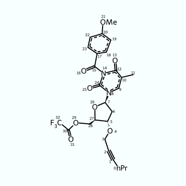 CCCC#CCO[C@H]1C[C@H](n2cc(C)c(=O)n(C(=O)c3ccc(OC)cc3)c2=O)O[C@@H]1COC(=O)C(F)(F)F